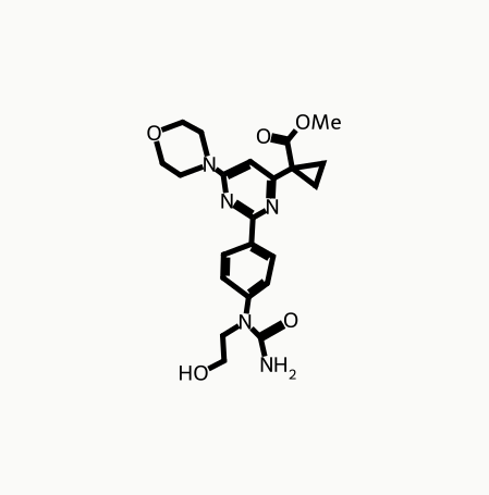 COC(=O)C1(c2cc(N3CCOCC3)nc(-c3ccc(N(CCO)C(N)=O)cc3)n2)CC1